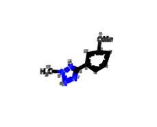 COc1cccc(-c2nnn(C)n2)c1